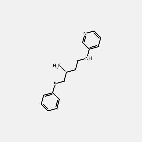 N[C@H](CCNc1cccnc1)CSc1ccccc1